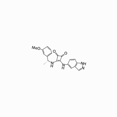 COc1cccc([C@@H](C)Nc2c(Nc3ccc4[nH]ncc4c3)c(=O)c2=O)c1